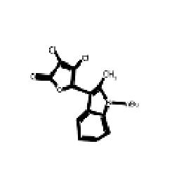 CCCCn1c(C)c(C2OC(=O)C(Cl)=C2Cl)c2ccccc21